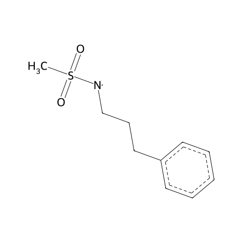 CS(=O)(=O)[N]CCCc1ccccc1